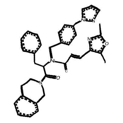 Cc1nc(C=CC(=O)N(Cc2ccc(-n3cccn3)cc2)C(Cc2ccccc2)C(=O)N2CCc3ccccc3C2)c(C)o1